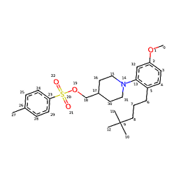 COc1ccc(CCCC(C)(C)C)c(N2CCC(COS(=O)(=O)c3ccc(C)cc3)CC2)c1